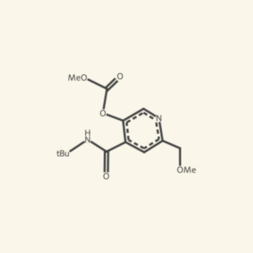 COCc1cc(C(=O)NC(C)(C)C)c(OC(=O)OC)cn1